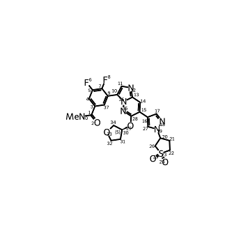 CNC(=O)c1cc(F)c(F)c(-c2cnc3cc(-c4cnn(C5CCS(=O)(=O)C5)c4)c(O[C@H]4CCOC4)nn23)c1